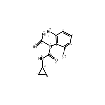 CCc1cccc(CC)c1N(C(=N)N)C(=O)NC1CC1